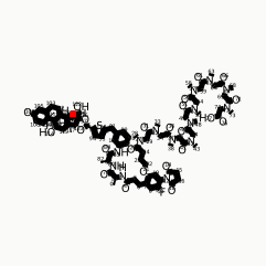 C[C@H](NC(=O)CCc1cc(F)c(N2C(=O)C=CC2=O)cc1OCCCC(=O)N(C)CC(=O)N(C)CC(=O)N(C)CC(=O)N(C)CC(=O)N(C)CC(=O)N(C)CC(=O)N(C)CC(=O)N(C)CC(=O)N(C)CC(=O)N(C)CC(=O)O)C(=O)N[C@@H](C)C(=O)Nc1cccc(Cc2ccc([C@@H]3O[C@@H]4C[C@H]5[C@@H]6CCC7=CC(=O)C=C[C@]7(C)[C@H]6[C@@H](O)C[C@]5(C)[C@]4(C(=O)CO)O3)s2)c1